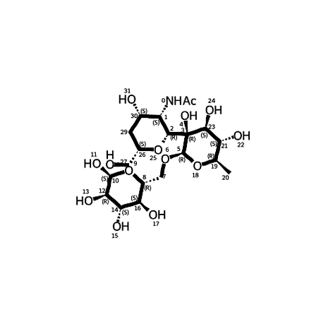 CC(=O)N[C@@H]1[C@H]([C@@]2(O)[C@H](OC[C@H]3O[C@H](O)[C@H](O)[C@@H](O)[C@@H]3O)O[C@H](C)[C@@H](O)[C@@H]2O)O[C@H](CO)C[C@@H]1O